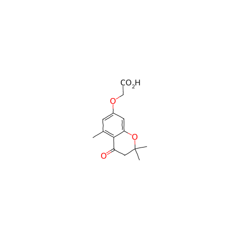 Cc1cc(OCC(=O)O)cc2c1C(=O)CC(C)(C)O2